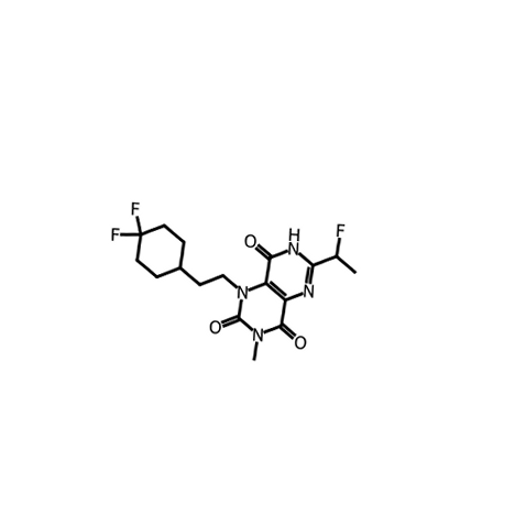 CC(F)c1nc2c(=O)n(C)c(=O)n(CCC3CCC(F)(F)CC3)c2c(=O)[nH]1